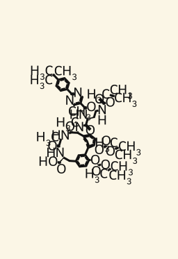 Cc1nc(-c2ccc(C(C)(C)C)cc2)ncc1C(=O)N[C@@H](CCNC(=O)OC(C)(C)C)C(=O)N(C)[C@@H]1C(=O)N[C@@H](C)C(=O)N[C@H](C(=O)O)Cc2ccc(OC(=O)OC(C)(C)C)c(c2)-c2cc1ccc2OC(=O)OC(C)(C)C